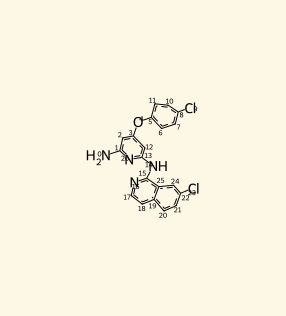 Nc1cc(Oc2ccc(Cl)cc2)cc(Nc2nccc3ccc(Cl)cc23)n1